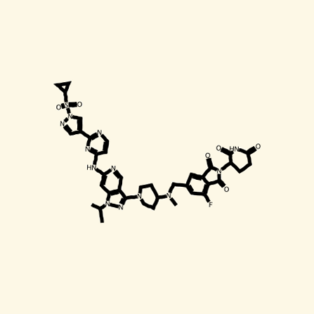 CC(C)n1nc(N2CCC(N(C)Cc3cc(F)c4c(c3)C(=O)N(C3CCC(=O)NC3=O)C4=O)CC2)c2cnc(Nc3ccnc(-c4cnn(S(=O)(=O)C5CC5)c4)n3)cc21